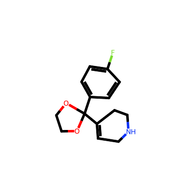 Fc1ccc(C2(C3=CCNCC3)OCCO2)cc1